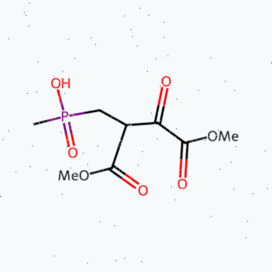 COC(=O)C(=O)C(CP(C)(=O)O)C(=O)OC